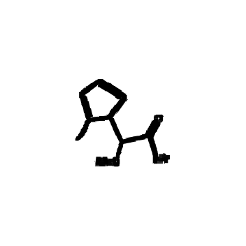 CCCC(=O)C(OC)C1C=CC=C1C